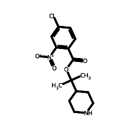 CC(C)(OC(=O)c1ccc(Cl)cc1[N+](=O)[O-])C1CCNCC1